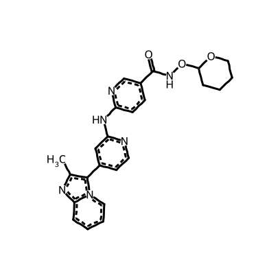 Cc1nc2ccccn2c1-c1ccnc(Nc2ccc(C(=O)NOC3CCCCO3)cn2)c1